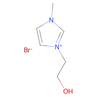 Cn1cc[n+](CCO)c1.[Br-]